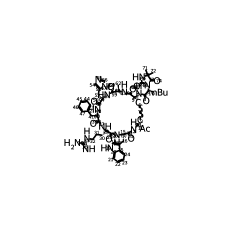 CCCC[C@@H](C(=O)N[C@H]1CSSC[C@@H](C(C)=O)NC(=O)[C@H](Cc2c[nH]c3ccccc23)NC(=O)[C@H](CCCNC(=N)N)NC(=O)[C@@H](Cc2ccccc2)NC(=O)[C@H](Cc2cnc[nH]2)NC(=O)[C@@H](C)NC1=O)N1C(=O)NC(C)(C)C1=O